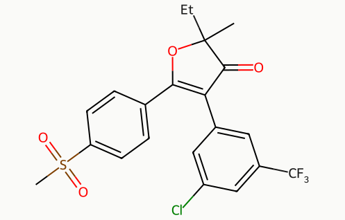 CCC1(C)OC(c2ccc(S(C)(=O)=O)cc2)=C(c2cc(Cl)cc(C(F)(F)F)c2)C1=O